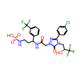 O=C(Cn1nc(-c2ccc(Cl)cc2)n(C[C@H](O)C(F)(F)F)c1=O)NC(CCNS(=O)(=O)O)c1cccc(C(F)(F)F)c1